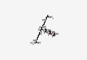 CC(N)CCNCCCCNC(=O)C(F)C(=O)NCCCCCCNC(=N)N.O=C(O)C(F)(F)F.O=C(O)C(F)(F)F.O=C(O)C(F)(F)F